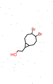 OCCC1C2CCC(Br)C(Br)CCC12